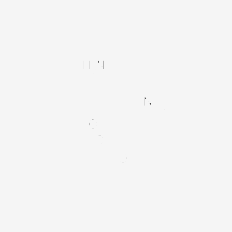 CCOc1cc(N)cc(N)c1CC(OC)OC